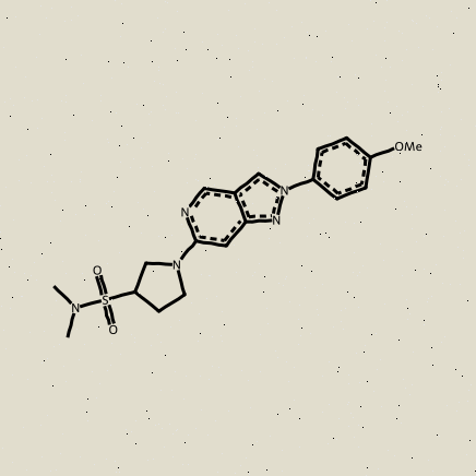 COc1ccc(-n2cc3cnc(N4CCC(S(=O)(=O)N(C)C)C4)cc3n2)cc1